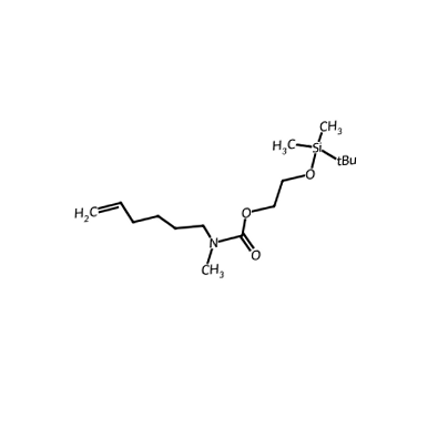 C=CCCCCN(C)C(=O)OCCO[Si](C)(C)C(C)(C)C